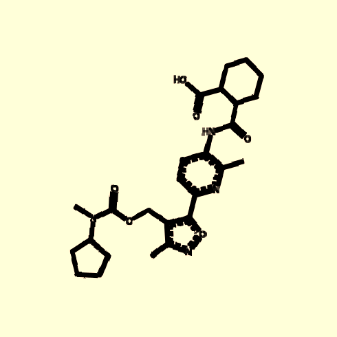 Cc1nc(-c2onc(C)c2COC(=O)N(C)C2CCCC2)ccc1NC(=O)C1CCCCC1C(=O)O